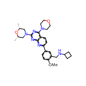 COc1ccc(-c2ccc3c(N4CCOCC4)nc(N4C[C@@H](C)O[C@@H](C)C4)nc3n2)cc1CNC1CCC1